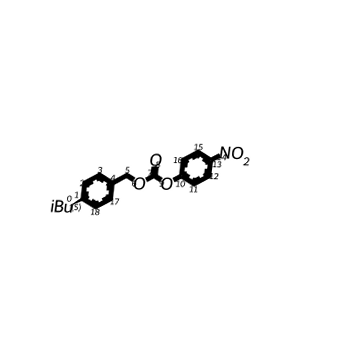 CC[C@H](C)c1ccc(COC(=O)Oc2ccc([N+](=O)[O-])cc2)cc1